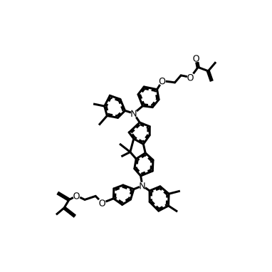 C=C(C)C(=C)OCCOc1ccc(N(c2ccc(C)c(C)c2)c2ccc3c(c2)C(C)(C)c2cc(N(c4ccc(OCCOC(=O)C(=C)C)cc4)c4ccc(C)c(C)c4)ccc2-3)cc1